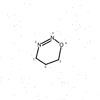 C1CN=NOC1